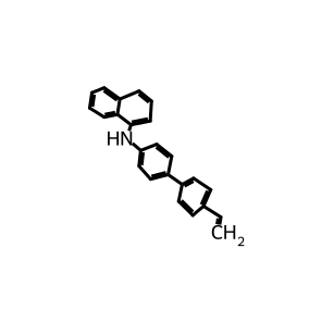 C=Cc1ccc(-c2ccc(Nc3cccc4ccccc34)cc2)cc1